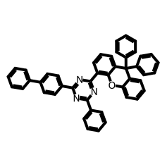 c1ccc(-c2ccc(-c3nc(-c4ccccc4)nc(-c4cccc5c4Oc4ccccc4C5(c4ccccc4)c4ccccc4)n3)cc2)cc1